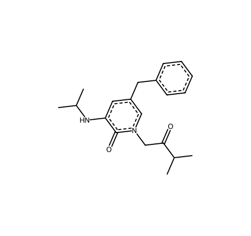 CC(C)Nc1cc(Cc2ccccc2)cn(CC(=O)C(C)C)c1=O